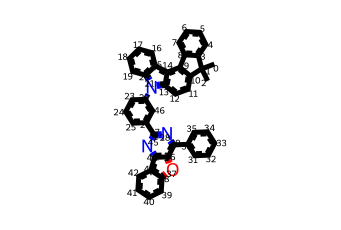 CC1(C)c2ccccc2-c2c1ccc1c2c2ccccc2n1-c1cccc(-c2nc(-c3ccccc3)c3oc4ccccc4c3n2)c1